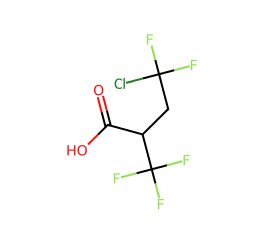 O=C(O)C(CC(F)(F)Cl)C(F)(F)F